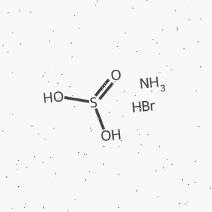 Br.N.O=S(O)O